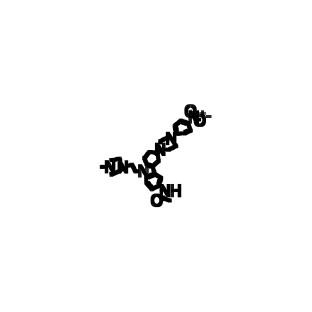 CC(=O)Nc1ccc2c(c1)c1c(n2CCN2CCN(C)CC2)CCC(N2CCN(c3ccc([N+](=O)[O-])cc3)CC2)C1